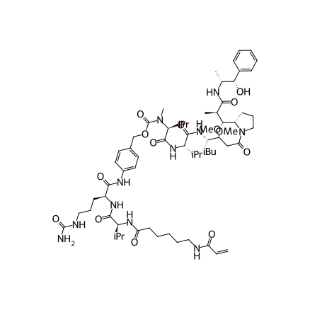 C=CC(=O)NCCCCCC(=O)N[C@H](C(=O)N[C@@H](CCCNC(N)=O)C(=O)Nc1ccc(COC(=O)N(C)[C@H](C(=O)N[C@H](C(=O)N[C@@H]([C@@H](C)CC)[C@@H](CC(=O)N2CCC[C@H]2[C@H](OC)[C@@H](C)C(=O)N[C@H](C)[C@@H](O)c2ccccc2)OC)C(C)C)C(C)C)cc1)C(C)C